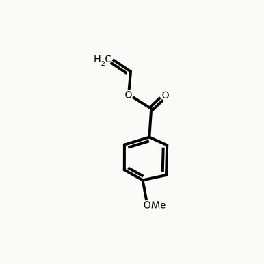 C=COC(=O)c1ccc(OC)cc1